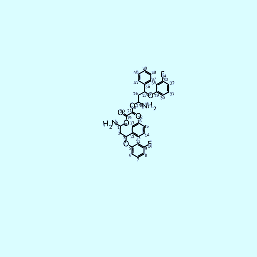 NC(CC(Oc1cccc(F)c1)c1ccccc1)OC(=O)C(=O)OC(N)CC(Oc1cccc(F)c1)c1ccccc1